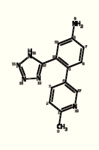 Cc1ccc(-c2ccc(N)cc2-c2nnn[nH]2)cn1